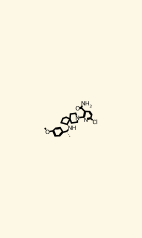 COc1ccc([C@@H](C)N[C@@H]2CCCC23CCN(c2nc(Cl)ccc2C(N)=O)CC3)cc1